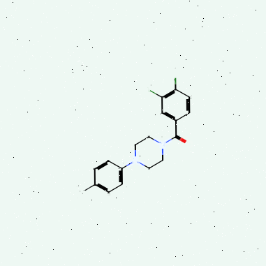 O=C(c1ccc(Cl)c(Cl)c1)N1CCN(c2ccc([N+](=O)[O-])cc2)CC1